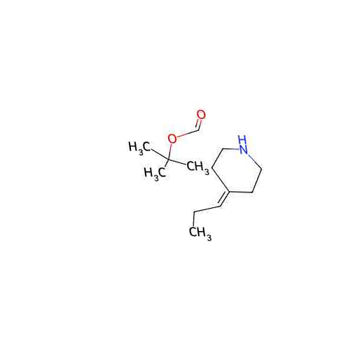 CC(C)(C)OC=O.CCC=C1CCNCC1